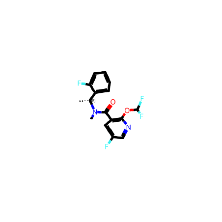 C[C@H](c1ccccc1F)N(C)C(=O)c1cc(F)cnc1OC(F)F